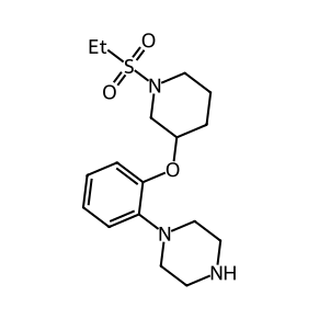 CCS(=O)(=O)N1CCCC(Oc2ccccc2N2CCNCC2)C1